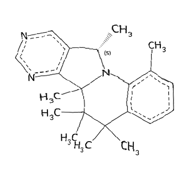 Cc1cccc2c1N1[C@@H](C)c3cncnc3C1(C)C(C)(C)C2(C)C